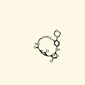 O=C1NCCCCOCc2cc(ccc2N2CCOCC2)Nc2ncc(Cl)c(n2)-c2ccc1cc2Cl